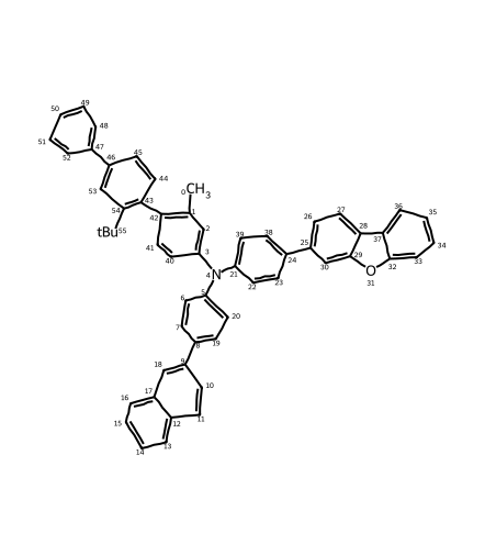 Cc1cc(N(c2ccc(-c3ccc4ccccc4c3)cc2)c2ccc(-c3ccc4c(c3)oc3ccccc34)cc2)ccc1-c1ccc(-c2ccccc2)cc1C(C)(C)C